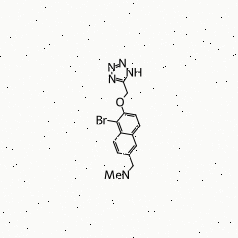 CNCc1ccc2c(Br)c(OCc3nnn[nH]3)ccc2c1